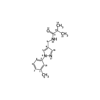 Cc1cccc(-n2cc(CNC(=O)C(C)C)cn2)c1